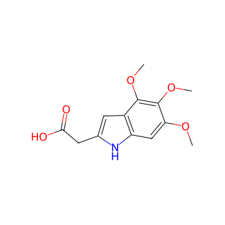 COc1cc2[nH]c(CC(=O)O)cc2c(OC)c1OC